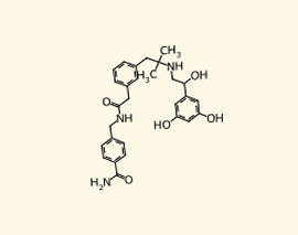 CC(C)(Cc1cccc(CC(=O)NCc2ccc(C(N)=O)cc2)c1)NCC(O)c1cc(O)cc(O)c1